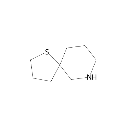 C1CNCC2(C1)CCCS2